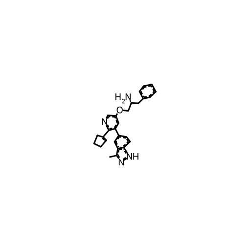 Cc1n[nH]c2ccc(-c3cc(OC[C@@H](N)Cc4ccccc4)cnc3C3=CCCC3)cc12